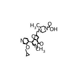 CC1CN(C(=O)O)CCN1Cc1cc2c(=O)n(C)cc(-c3ccncc3OCC3CC3)c2o1